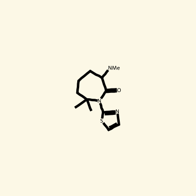 CNC1CCCC(C)(C)N(c2nccs2)C1=O